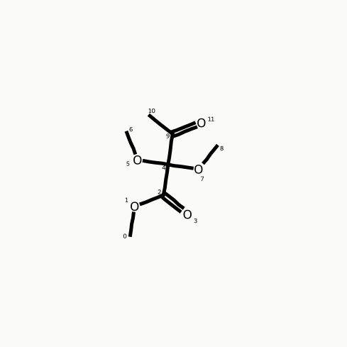 COC(=O)C(OC)(OC)C(C)=O